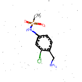 CS(=O)(=O)Nc1ccc(CN)c(Cl)c1